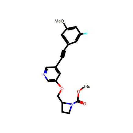 COc1cc(F)cc(C#Cc2cncc(OCC3CCN3C(=O)OC(C)(C)C)c2)c1